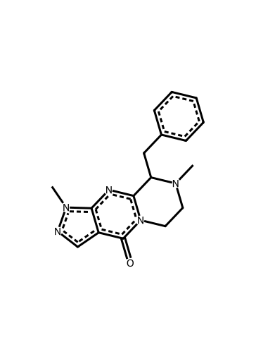 CN1CCn2c(nc3c(cnn3C)c2=O)C1Cc1ccccc1